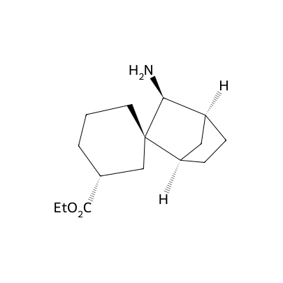 CCOC(=O)[C@@H]1CCC[C@]2(C1)[C@@H]1CC[C@@H](C1)[C@@H]2N